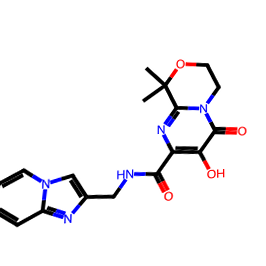 CC1(C)OCCn2c1nc(C(=O)NCc1cn3ccccc3n1)c(O)c2=O